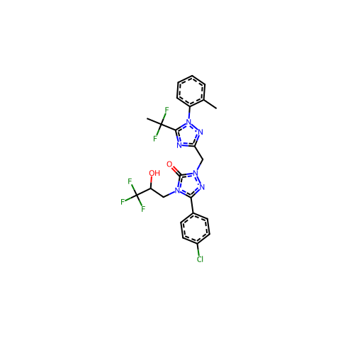 Cc1ccccc1-n1nc(Cn2nc(-c3ccc(Cl)cc3)n(CC(O)C(F)(F)F)c2=O)nc1C(C)(F)F